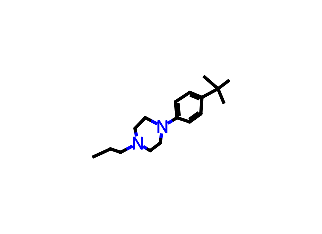 CCCN1CCN(c2ccc(C(C)(C)C)cc2)CC1